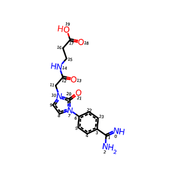 N=C(N)c1ccc(-n2ccn(CC(=O)NCCC(=O)O)c2=O)cc1